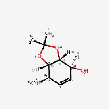 CC[C@]1(O)C=C[C@@H](NC(C)=O)[C@@H]2OC(C)(C)O[C@@H]21